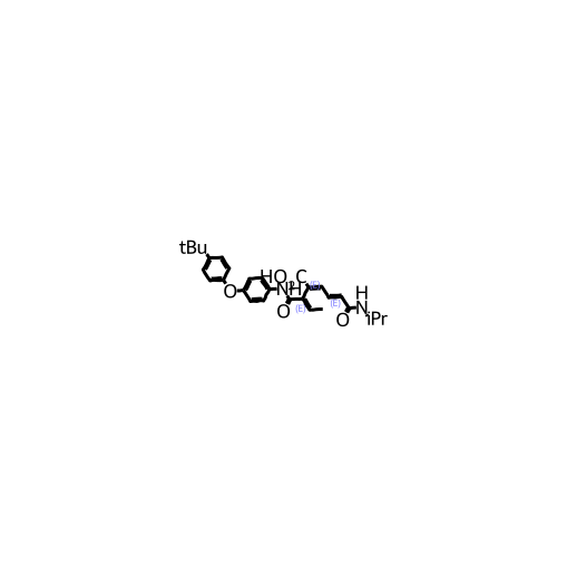 C\C=C(C(=O)Nc1ccc(Oc2ccc(C(C)(C)C)cc2)cc1)/C(=C\C=C\C(=O)NC(C)C)C(=O)O